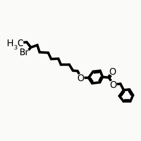 CCC(Br)CCCCCCCCCOc1ccc(C(=O)OCc2ccccc2)cc1